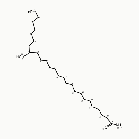 CCCCCCCCCCCCCCCCC(CCCCCCCCCCCCCCCCCC(N)=O)C(=O)O